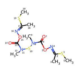 CS/C(C)=N/OC(=O)N(C)SN(C)C(=O)O/N=C(\C)SC